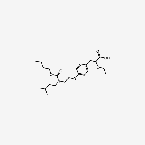 CCCCOC(=O)N(CCOc1ccc(CC(OCC)C(=O)O)cc1)CCC(C)C